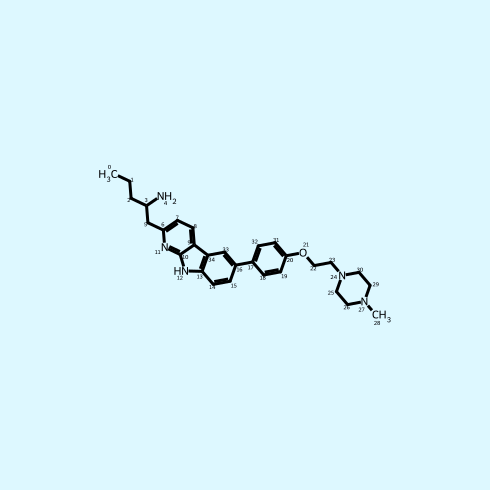 CCCC(N)Cc1ccc2c(n1)[nH]c1ccc(-c3ccc(OCCN4CCN(C)CC4)cc3)cc12